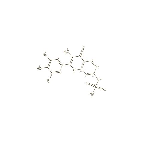 Cc1c(-c2cc(Br)c(O)c(Br)c2)oc2cc(OS(=O)(=O)O)ccc2c1=O